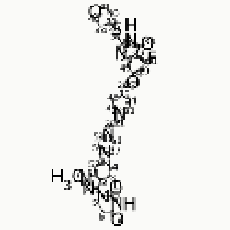 Cn1nc(N2CCC(=O)NC2=O)c2ccc(N3CCN(CCN4CCC(COc5cc(F)c6c(=O)[nH]c(CSC7CCOCC7)nc6c5)CC4)CC3)cc21